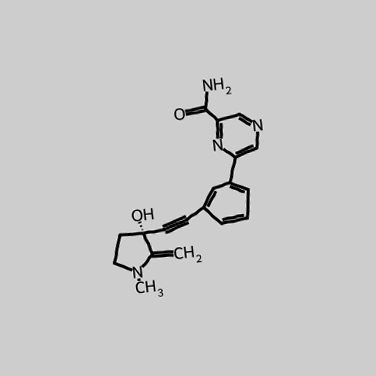 C=C1N(C)CC[C@@]1(O)C#Cc1cccc(-c2cncc(C(N)=O)n2)c1